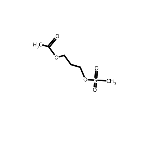 CC(=O)OCCCOS(C)(=O)=O